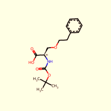 CC(C)(C)OC(=O)N[C@H](COCCc1ccccc1)C(=O)O